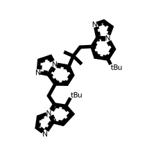 CC(C)(C)c1cc(CC(C)(C)c2ccc(Cc3c(C(C)(C)C)ccc4nccn34)c3nccn23)c2nccn2c1